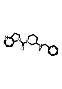 CN(Cc1ccccc1)C1CCCN(C(=O)N2CCc3ncccc32)C1